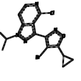 CC(C)n1nc(-c2noc(C3CC3)c2Br)c2c(Cl)nccc21